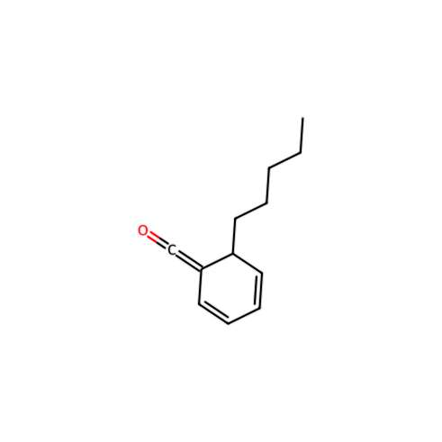 CCCCCC1C=CC=CC1=C=O